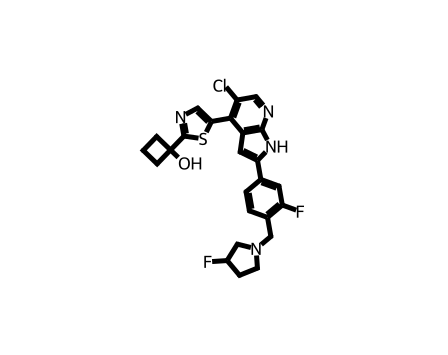 OC1(c2ncc(-c3c(Cl)cnc4[nH]c(-c5ccc(CN6CCC(F)C6)c(F)c5)cc34)s2)CCC1